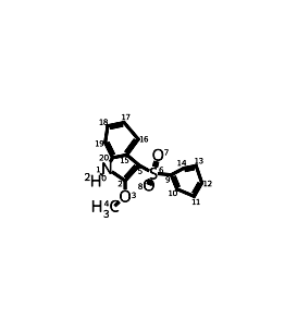 [2H]n1c(OC)c(S(=O)(=O)c2ccccc2)c2ccccc21